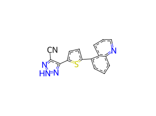 N#Cc1n[nH]nc1-c1ccc(-c2cccc3ncccc23)s1